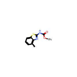 [CH2]c1cccc2sc(NC(=O)OC(C)(C)C)nc12